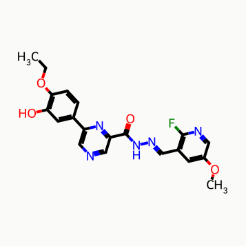 CCOc1ccc(-c2cncc(C(=O)N/N=C/c3cc(OC)cnc3F)n2)cc1O